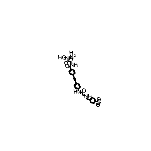 CS(=O)(=O)c1ccc(CNCC(=O)Nc2ccc(C#Cc3ccc(C(=O)N[C@@H](CN)C(=O)NO)cc3)cc2)cc1